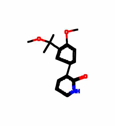 COc1ccc(-c2ccc[nH]c2=O)cc1C(C)(C)OC